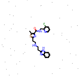 Cc1sc(CCNCCc2nc3ccccc3[nH]2)nc1C(=O)NCc1ncccc1F